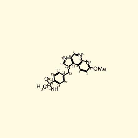 COc1ccc2c(ncc3ncn(Cc4ccc(S(C)(=N)=O)cc4)c32)n1